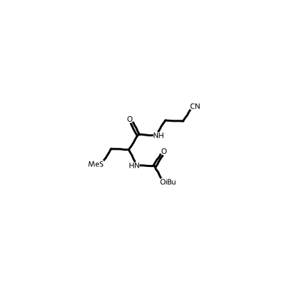 CSCC(NC(=O)OCC(C)C)C(=O)NCCC#N